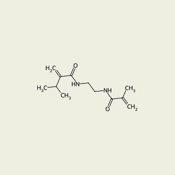 C=C(C)C(=O)NCCNC(=O)C(=C)C(C)C